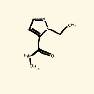 CCn1nc[c]c1C(=O)NC